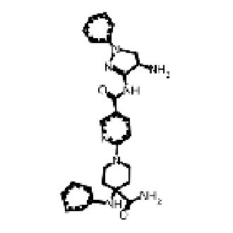 NC(=O)C1(Nc2ccccc2)CCN(c2ccc(C(=O)NC3=NN(c4ccccc4)CC3N)cn2)CC1